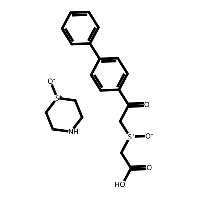 O=C(O)C[S+]([O-])CC(=O)c1ccc(-c2ccccc2)cc1.[O-][S+]1CCNCC1